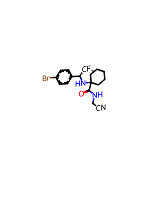 N#CCNC(=O)C1(NC(c2ccc(Br)cc2)C(F)(F)F)CCCCC1